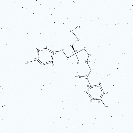 CCOC[C@@]1(CCc2ccc(F)cn2)CCN(CC(=O)c2ccc(C)nc2)C1